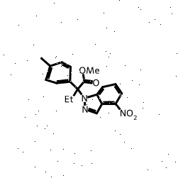 CCC(C(=O)OC)(c1ccc(C)cc1)n1ncc2c([N+](=O)[O-])cccc21